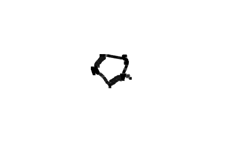 [C]1=N[C]=[N+]S1